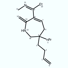 C=CCCC1(CCC)CC=C(/C(CC)=N\C)C(=C)NC1